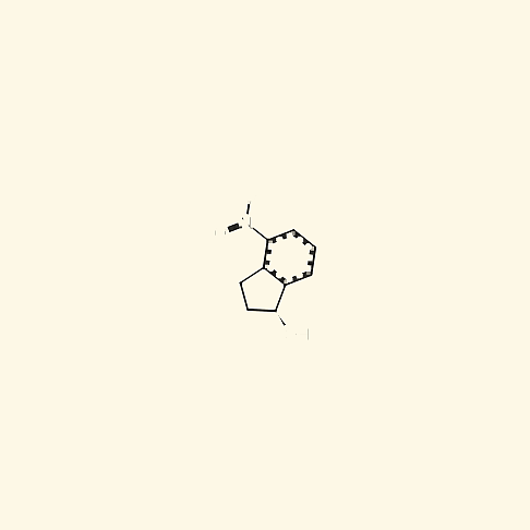 O=[N+]([O-])c1cccc2c1CC[C@@H]2O